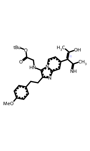 COc1ccc(CCc2nc3cc(/C(C(C)=N)=C(\C)O)ccn3c2NCC(=O)OC(C)(C)C)cc1